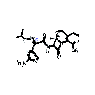 CC(C)O/N=C(/C(=O)NC1C(=O)N2C(C(=O)O)=C(CI)CS[C@H]12)c1csc(N)n1